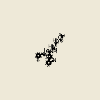 CC(C)(C)OC(=O)NCCCNC(=O)CNC(=O)c1ccc(-c2ccccc2C#N)nc1NCCc1cccc(F)c1